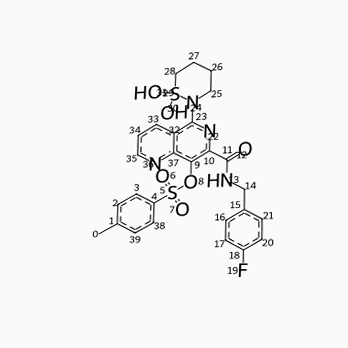 Cc1ccc(S(=O)(=O)Oc2c(C(=O)NCc3ccc(F)cc3)nc(N3CCCCS3(O)O)c3cccnc23)cc1